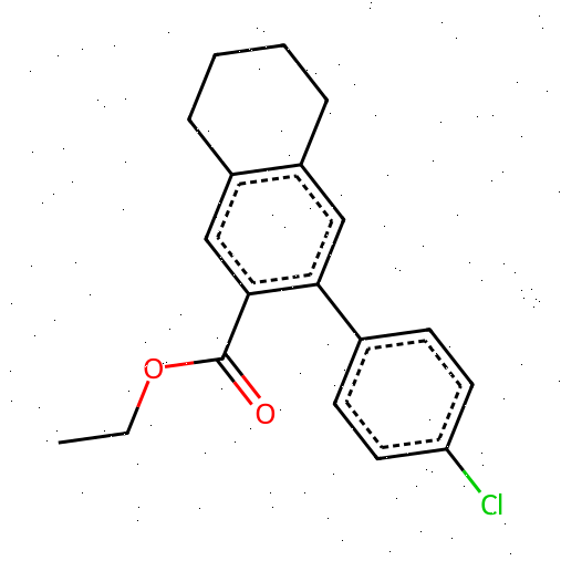 CCOC(=O)c1cc2c(cc1-c1ccc(Cl)cc1)CCCC2